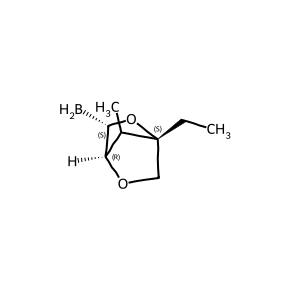 B[C@@H]1O[C@]2(CC)CO[C@@H]1C2C